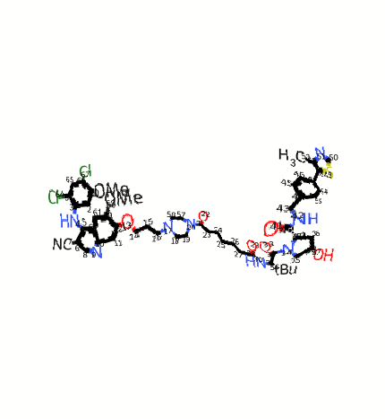 COc1cc(Nc2c(C#N)cnc3cc(OCCCN4CCN(C(=O)CCCCCC(=O)NC(C(=O)N5C[C@H](O)C[C@H]5C(=O)NCc5ccc(-c6scnc6C)cc5)C(C)(C)C)CC4)c(OC)cc23)c(Cl)cc1Cl